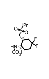 CC(C)S(=O)(=O)C[C@@H]1CC(F)(F)CC[C@@H]1NC(=O)O